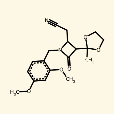 COc1ccc(CN2C(=O)C(C3(C)OCCO3)C2CC#N)c(OC)c1